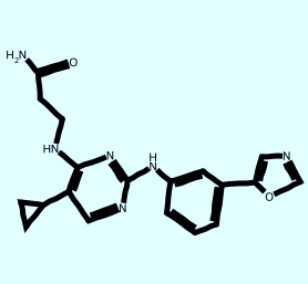 NC(=O)CCNc1nc(Nc2cccc(-c3cnco3)c2)ncc1C1CC1